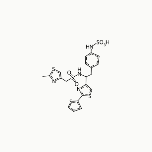 Cc1nc(CS(=O)(=O)NC(Cc2ccc(NS(=O)(=O)O)cc2)c2csc(-c3cccs3)n2)cs1